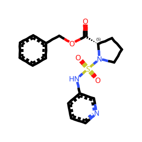 O=C(OCc1ccccc1)[C@@H]1CCCN1S(=O)(=O)Nc1cccnc1